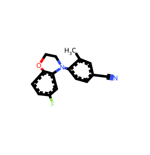 Cc1cc(C#N)ccc1N1CCOc2ccc(F)cc21